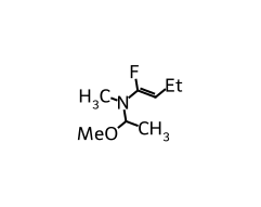 CCC=C(F)N(C)C(C)OC